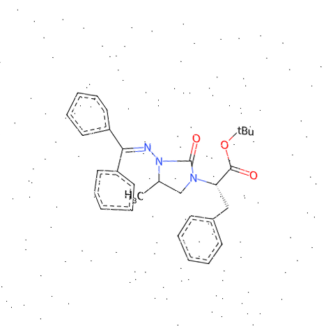 CC1CN([C@@H](Cc2ccccc2)C(=O)OC(C)(C)C)C(=O)N1N=C(c1ccccc1)c1ccccc1